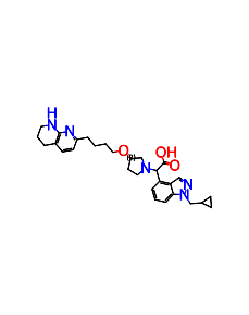 O=C(O)C(c1cccc2c1cnn2CC1CC1)N1CC[C@@H](OCCCCc2ccc3c(n2)NCCC3)C1